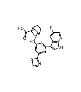 O=C(O)C1C2CCC(CC2)C1Nc1cc(-c2nccs2)nc(-c2c[nH]c3ncc(F)cc23)n1